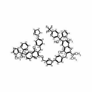 CN(C)c1nc2ccc(C(O)(c3ccc(C(F)(F)F)nc3)c3cncn3C)cc2c(Cl)c1Cc1ccc(-n2ccc(COc3nc4ccc(C(O)(c5ncccn5)c5cncn5C)cc4c(Cl)c3Cc3ccc(N4CCC=N4)cc3)n2)cc1